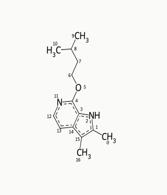 Cc1[nH]c2c(OCCC(C)C)nccc2c1C